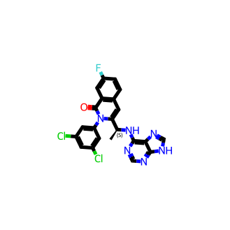 C[C@H](Nc1ncnc2[nH]cnc12)c1cc2ccc(F)cc2c(=O)n1-c1cc(Cl)cc(Cl)c1